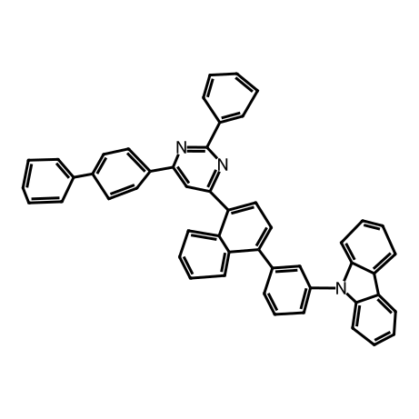 c1ccc(-c2ccc(-c3cc(-c4ccc(-c5cccc(-n6c7ccccc7c7ccccc76)c5)c5ccccc45)nc(-c4ccccc4)n3)cc2)cc1